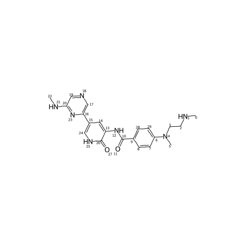 CNCCN(C)c1ccc(C(=O)Nc2cc(-c3cncc(NC)n3)c[nH]c2=O)cc1